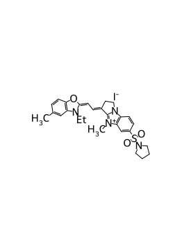 CCN1C(=CC=C2CCn3c2[n+](C)c2cc(S(=O)(=O)N4CCCC4)ccc23)Oc2ccc(C)cc21.[I-]